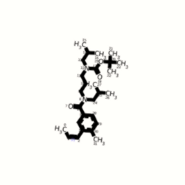 C/C=C\c1cc(C(=O)N(CCCN(CC(C)C)C(=O)OC(C)(C)C)CC(C)C)ccc1C